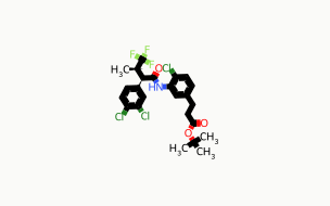 C[C@H]([C@H](C(=O)Nc1cc(CCC(=O)OC(C)(C)C)ccc1Cl)c1ccc(Cl)c(Cl)c1)C(F)(F)F